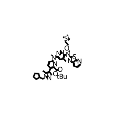 Cc1cc(N(C)c2ccc(-c3cnn(CC4CCCC4)c3C)c(C(=O)OC(C)(C)C)n2)nnc1N(COCC[Si](C)(C)C)c1nc2cccnc2s1